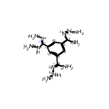 N/N=N\C(N)c1cc(/C(N)=N/NN)cc(/C(=N/N)NN)c1